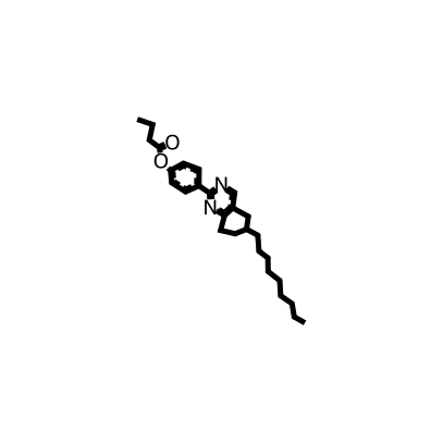 CCCCCCCCCC1CCc2nc(-c3ccc(OC(=O)CCC)cc3)ncc2C1